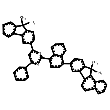 CC1(C)c2ccccc2-c2cc(-c3cc(-c4ccccc4)nc(-c4ccc(-c5ccc6c(c5)-c5ccc7ccccc7c5C6(C)C)c5ccccc45)n3)ccc21